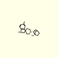 Cc1ccc2c(c1)C1(CCN([C@@H]3CC4CC[C@@H]3C4)CC1)CN2